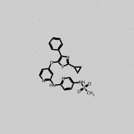 CS(=O)(=O)Nc1ccc(Nc2cc(Oc3sc(C4CC4)nc3-c3ccccc3)ccn2)nc1